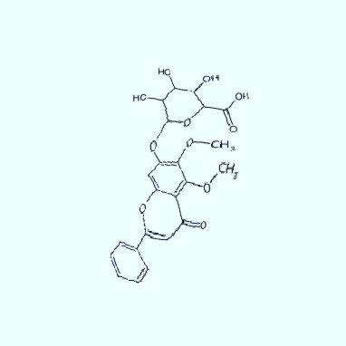 COc1c(OC2OC(C(=O)O)C(O)C(O)C2O)cc2oc(-c3ccccc3)cc(=O)c2c1OC